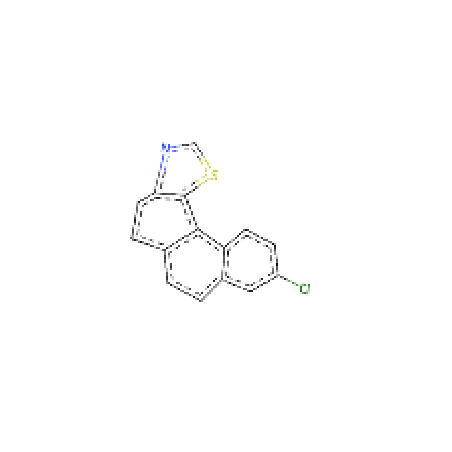 Clc1ccc2c(ccc3ccc4ncsc4c32)c1